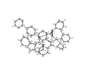 c1ccc(-c2ccc(N(c3ccc4c(c3)C3(c5ccccc5-c5ccccc5-4)c4ccccc4-c4c3c3ccccc3c3ccccc43)c3cccc4oc5ccccc5c34)cc2)cc1